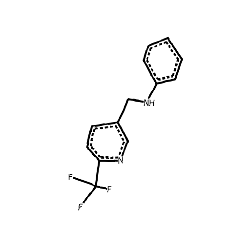 FC(F)(F)c1ccc(CNc2ccccc2)cn1